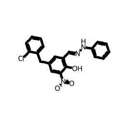 O=[N+]([O-])c1cc(Cc2ccccc2Cl)cc(/C=N/Nc2ccccc2)c1O